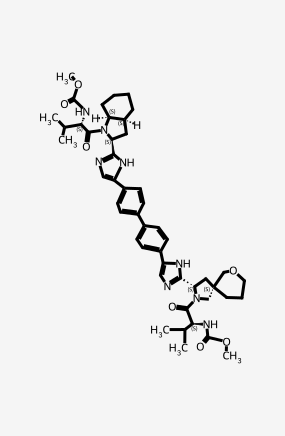 COC(=O)N[C@H](C(=O)N1C[C@]2(CCCOC2)C[C@H]1c1ncc(-c2ccc(-c3ccc(-c4cnc([C@@H]5C[C@@H]6CCCC[C@@H]6N5C(=O)[C@@H](NC(=O)OC)C(C)C)[nH]4)cc3)cc2)[nH]1)C(C)C